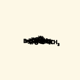 CN1CC2CC(C1)CN(C(=O)CN1CCC[C@H](NS(=O)(=O)c3ccc4cc(Br)ccc4c3)C1=O)C2